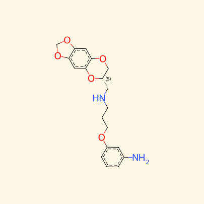 Nc1cccc(OCCCNC[C@H]2COc3cc4c(cc3O2)OCO4)c1